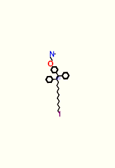 CN(C)CCOc1ccc(/C(=C(/CCCCCCCCCCI)c2ccccc2)c2ccccc2)cc1